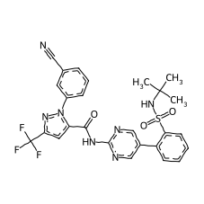 CC(C)(C)NS(=O)(=O)c1ccccc1-c1cnc(NC(=O)c2cc(C(F)(F)F)nn2-c2cccc(C#N)c2)nc1